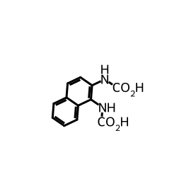 O=C(O)Nc1ccc2ccccc2c1NC(=O)O